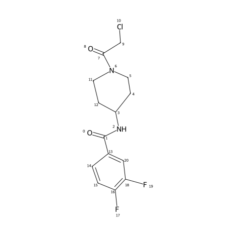 O=C(NC1CCN(C(=O)CCl)CC1)c1ccc(F)c(F)c1